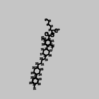 [CH2+][C-](CCCCC)OC(=O)c1cc(F)c(C2CCC(CCCCC3CCC(c4ccc(C)cc4)CC3)CC2)cc1F